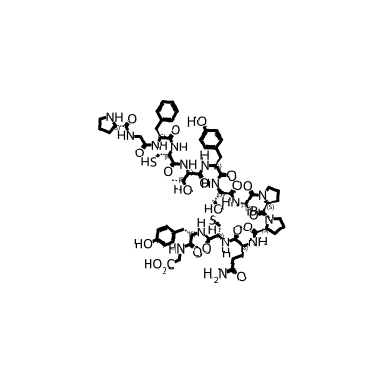 CC[C@H](C)[C@H](NC(=O)[C@H](CO)NC(=O)[C@H](Cc1ccc(O)cc1)NC(=O)[C@@H](NC(=O)[C@H](CS)NC(=O)[C@H](Cc1ccccc1)NC(=O)CNC(=O)[C@@H]1CCCN1)[C@@H](C)O)C(=O)N1CCC[C@H]1C(=O)N1CCC[C@H]1C(=O)N[C@@H](CCC(N)=O)C(=O)N[C@@H](CS)C(=O)N[C@@H](Cc1ccc(O)cc1)C(=O)NCC(=O)O